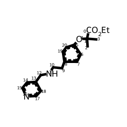 CCOC(=O)C(C)(C)Oc1ccc(CCNCc2ccncc2)cc1